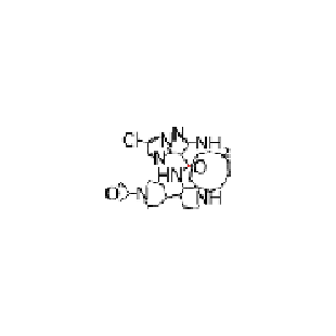 Nc1nn2cc(Cl)cnc2c1C(=O)NC1C(C2CCN(C3COC3)CC2)CCNC12CCCCCCCCC2